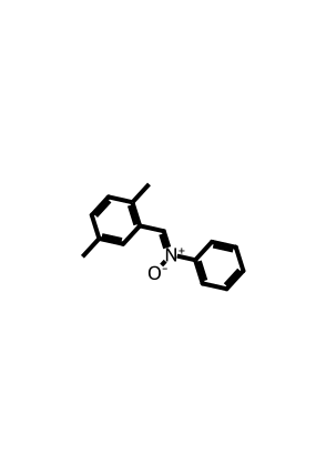 Cc1ccc(C)c(C=[N+]([O-])c2ccccc2)c1